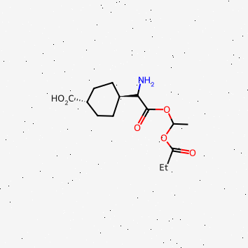 CCC(=O)OC(C)OC(=O)C(N)[C@H]1CC[C@H](C(=O)O)CC1